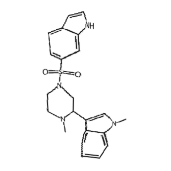 CN1CCN(S(=O)(=O)c2ccc3cc[nH]c3c2)CC1c1cn(C)c2ccccc12